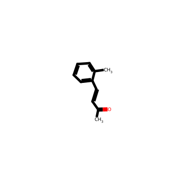 CC(=O)/C=C/c1ccccc1C